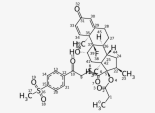 CCC(=O)O[C@]1(C(=O)SCC(=O)c2ccc(S(C)(=O)=O)cc2)[C@H](C)C[C@H]2[C@@H]3CCC4=CC(=O)C=C[C@]4(C)[C@@]3(F)[C@@H](O)C[C@@]21C